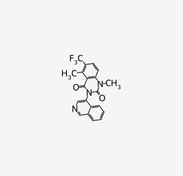 Cc1c(C(F)(F)F)ccc2c1c(=O)n(-c1cncc3ccccc13)c(=O)n2C